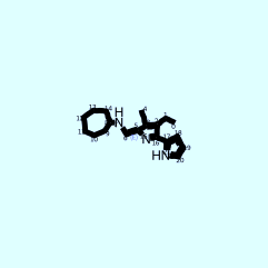 CCC1=C(C)/C(=C\NC2CCCCCC2)N=C1c1ccc[nH]1